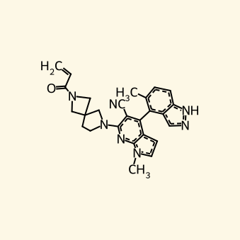 C=CC(=O)N1CC2(CCN(c3nc4c(ccn4C)c(-c4c(C)ccc5[nH]ncc45)c3C#N)C2)C1